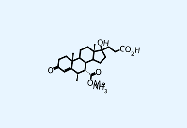 COC(=O)[C@H]1C2C(CC[C@@]3(C)C2CC[C@@]3(O)CCC(=O)O)[C@@]2(C)CCC(=O)C=C2[C@@H]1C.N